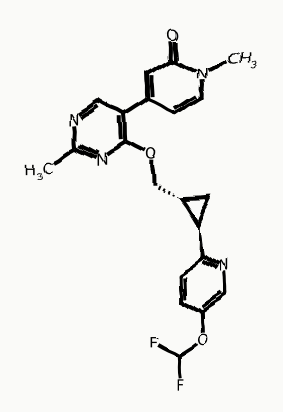 Cc1ncc(-c2ccn(C)c(=O)c2)c(OC[C@@H]2C[C@H]2c2ccc(OC(F)F)cn2)n1